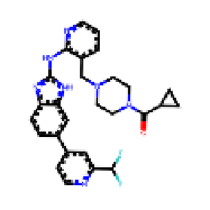 O=C(C1CC1)N1CCN(Cc2cccnc2Nc2nc3ccc(-c4ccnc(C(F)F)c4)cc3[nH]2)CC1